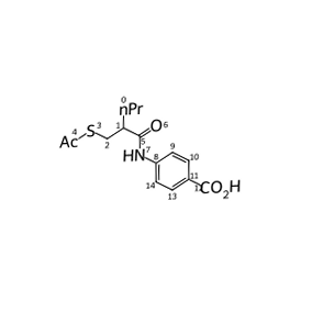 CCCC(CSC(C)=O)C(=O)Nc1ccc(C(=O)O)cc1